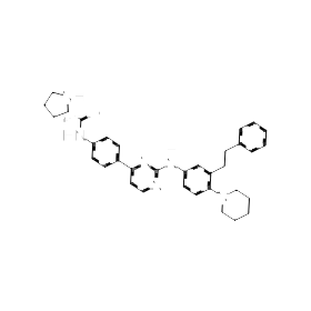 O=C(Nc1ccc(-c2ccnc(Nc3ccc(N4CCCCC4)c(CCc4ccccc4)c3)n2)cc1)[C@H]1CCCN1